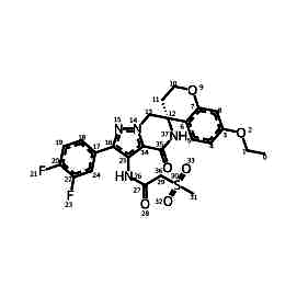 CCOc1ccc2c(c1)OCC[C@]21Cn2nc(-c3ccc(F)c(F)c3)c(NC(=O)CS(C)(=O)=O)c2C(=O)N1